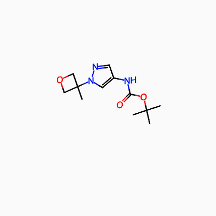 CC(C)(C)OC(=O)Nc1cnn(C2(C)COC2)c1